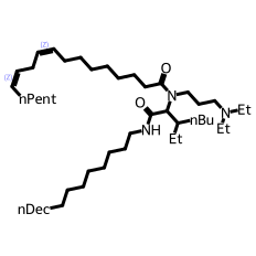 CCCCC/C=C\C/C=C\CCCCCCCC(=O)N(CCCN(CC)CC)C(C(=O)NCCCCCCCCCCCCCCCCCC)C(CC)CCCC